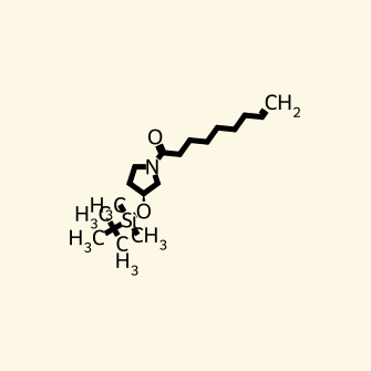 C=CCCCCCCC(=O)N1CC[C@@H](O[Si](C)(C)C(C)(C)C)C1